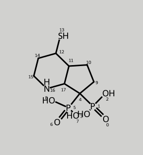 O=P(O)(O)C1(P(=O)(O)O)CCC2C(S)CCNC21